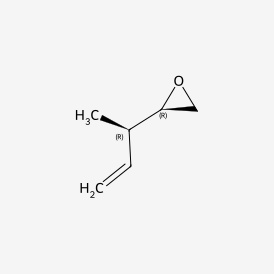 C=C[C@@H](C)[C@@H]1CO1